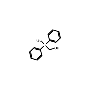 CC(C)(C)[Si](CO)(c1ccccc1)c1ccccc1